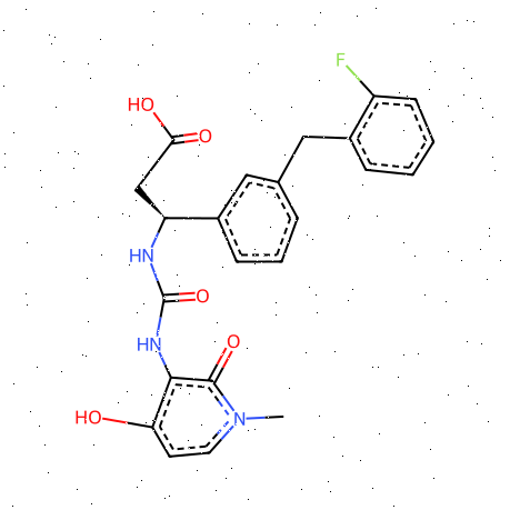 Cn1ccc(O)c(NC(=O)N[C@@H](CC(=O)O)c2cccc(Cc3ccccc3F)c2)c1=O